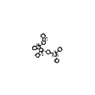 c1ccc(-c2nc(-c3ccccc3)nc(-c3ccc(-c4cc5c(-c6ccc7oc8ccccc8c7c6)nc6ccccc6c5c5c4sc4ccccc45)cc3)n2)cc1